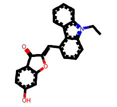 CCn1c2ccccc2c2c(/C=C3\Oc4cc(O)ccc4C3=O)cccc21